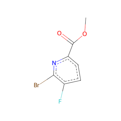 COC(=O)c1ccc(F)c(Br)n1